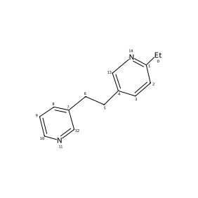 CCc1ccc(CCc2cccnc2)cn1